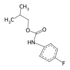 CC(C)COC(=O)Nc1ccc(F)cc1